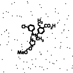 COCO[C@H]1CCN(C[C@H](c2cccc(Cl)c2)N(C)c2ccc(C(=O)O)c(C)c2)C1